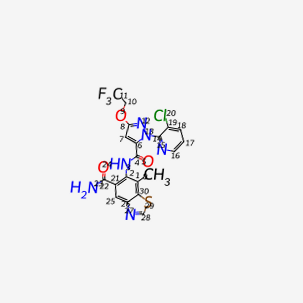 Cc1c(NC(=O)c2cc(OCC(F)(F)F)nn2-c2ncccc2Cl)c(C(N)=O)cc2ncsc12